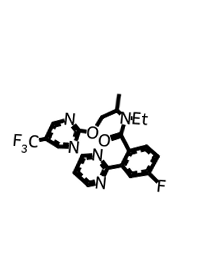 CCN(C(=O)c1ccc(F)cc1-c1ncccn1)C(C)COc1ncc(C(F)(F)F)cn1